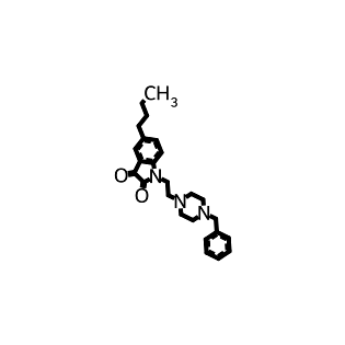 CCCCc1ccc2c(c1)C(=O)C(=O)N2CCN1CCN(Cc2ccccc2)CC1